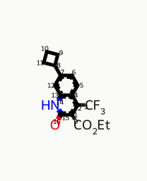 CCOC(=O)c1c(C(F)(F)F)c2ccc(C3CCC3)cc2[nH]c1=O